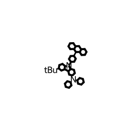 CC(C)(C)c1ccc2c(c1)c1cc(N(c3ccccc3)c3ccccc3)ccc1n2-c1ccc(-c2c3ccccc3cc3ccccc23)cc1